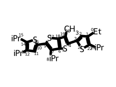 CCc1cc(-c2sc3c(C(C)C)c(-c4cc(C(C)C)c(C(C)C)s4)sc3c2C)sc1C(C)C